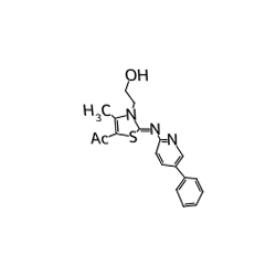 CC(=O)c1s/c(=N\c2ccc(-c3ccccc3)cn2)n(CCO)c1C